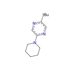 CC(C)(C)c1cnc(N2CCCCC2)cn1